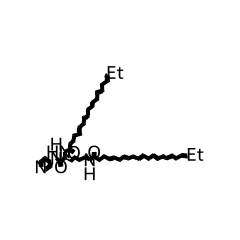 CCC=CCC=CCC=CCC=CCC=CCC=CCCC(=O)NCCCC[C@H](NC(=O)CCCC=CCC=CCC=CCC=CCC=CCC)C(=O)Nc1ccncc1